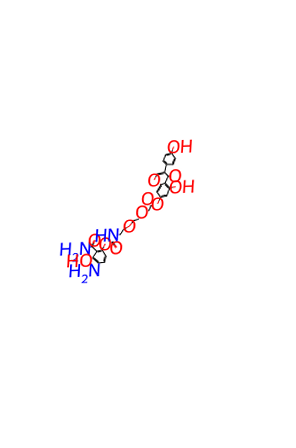 NC(=O)c1c(OC(=O)NCCOCCOCC(=O)Oc2cc(O)c3c(=O)c(-c4ccc(O)cc4)coc3c2)ccc(N)c1O